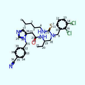 CCCCCNC(=S)N(Cc1cccc(Cl)c1Cl)CC(CC)NC(=O)Cc1cncn1Cc1ccc(C#N)cc1